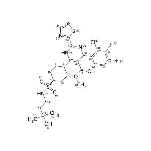 COC(=O)C1=C([C@H]2CC[C@H](S(=O)(=O)NCCC(C)(C)O)CC2)NC(c2nccs2)=NC1c1ccc(F)c(F)c1Cl